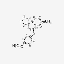 COc1ccc(CN2CC3(CCCC3)c3ccc(C)cc32)cc1